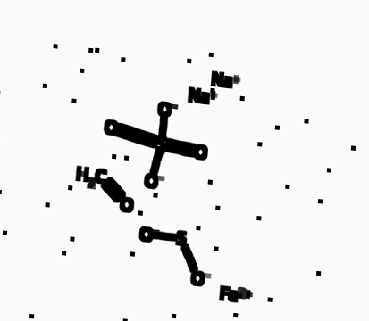 C=O.O=S(=O)([O-])[O-].[Fe+2].[Na+].[Na+].[O-]S[O-]